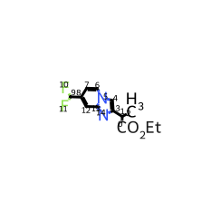 CCOC(=O)C(C)c1cn2ccc(C(F)F)cc2n1